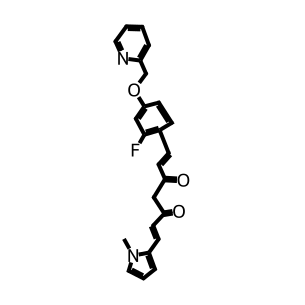 Cn1cccc1/C=C/C(=O)CC(=O)/C=C/c1ccc(OCc2ccccn2)cc1F